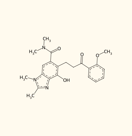 COc1ccccc1C(=O)CCc1c(C(=O)N(C)C)cc2c(nc(C)n2C)c1O